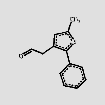 Cc1cc(CC=O)c(-c2ccccc2)s1